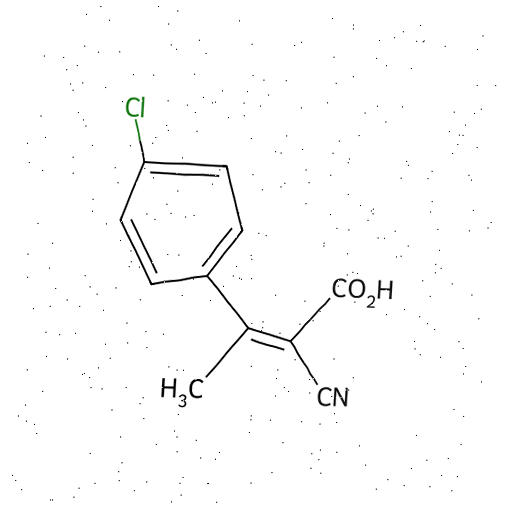 CC(=C(C#N)C(=O)O)c1ccc(Cl)cc1